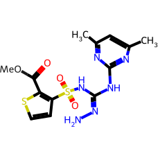 COC(=O)c1sccc1S(=O)(=O)N/C(=N\N)Nc1nc(C)cc(C)n1